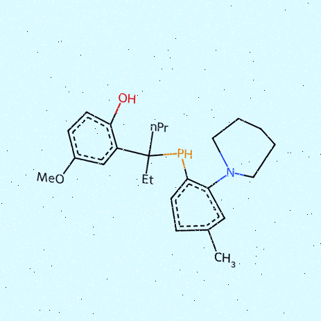 CCCC(CC)(Pc1ccc(C)cc1N1CCCCC1)c1cc(OC)ccc1O